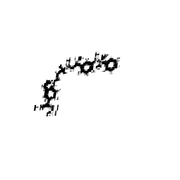 CC(C)(CCn1ccc2cc(C(=N)NO)ccc21)NC[C@H](O)c1cccc(NS(=O)(=O)c2ccccc2)c1